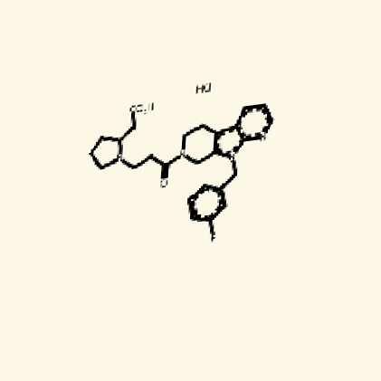 Cl.O=C(O)CC1CCCN1CCC(=O)N1CCc2c(n(Cc3cccc(F)c3)c3ncccc23)C1